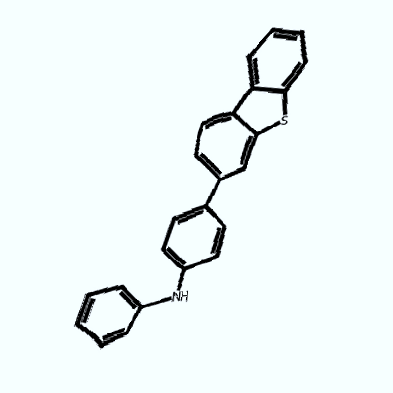 c1ccc(Nc2ccc(-c3ccc4c(c3)sc3ccccc34)cc2)cc1